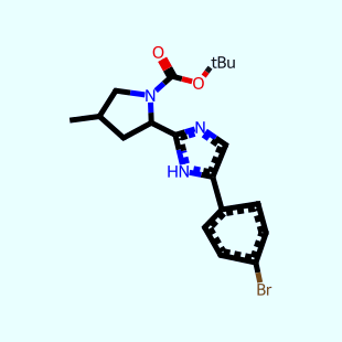 CC1CC(c2ncc(-c3ccc(Br)cc3)[nH]2)N(C(=O)OC(C)(C)C)C1